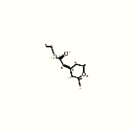 CCOC(=O)C=C1CCOC(C)C1